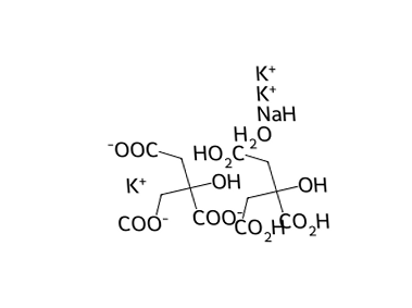 O.O=C(O)CC(O)(CC(=O)O)C(=O)O.O=C([O-])CC(O)(CC(=O)[O-])C(=O)[O-].[K+].[K+].[K+].[NaH]